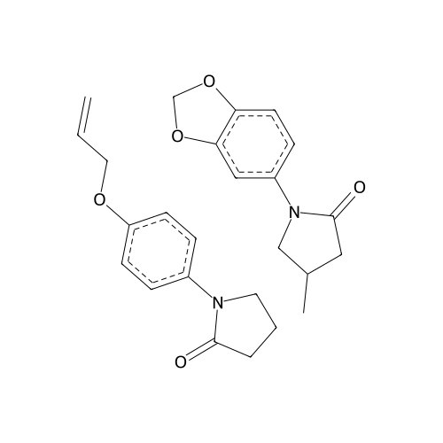 C=CCOc1ccc(N2CCCC2=O)cc1.CC1CC(=O)N(c2ccc3c(c2)OCO3)C1